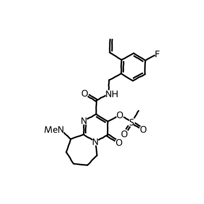 C=Cc1cc(F)ccc1CNC(=O)c1nc2n(c(=O)c1OS(C)(=O)=O)CCCCC2NC